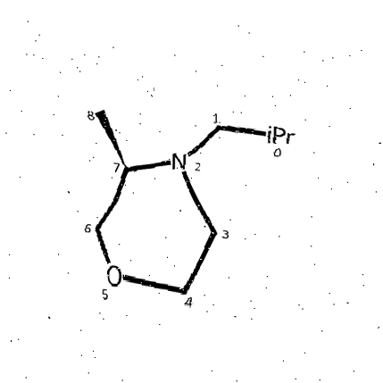 CC(C)CN1CCOC[C@H]1C